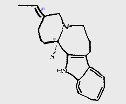 C/C=C1\CC[C@@H]2c3[nH]c4ccccc4c3CCN2C1